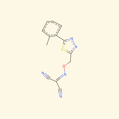 Cc1ccccc1-c1nnc(CON=C(C#N)C#N)s1